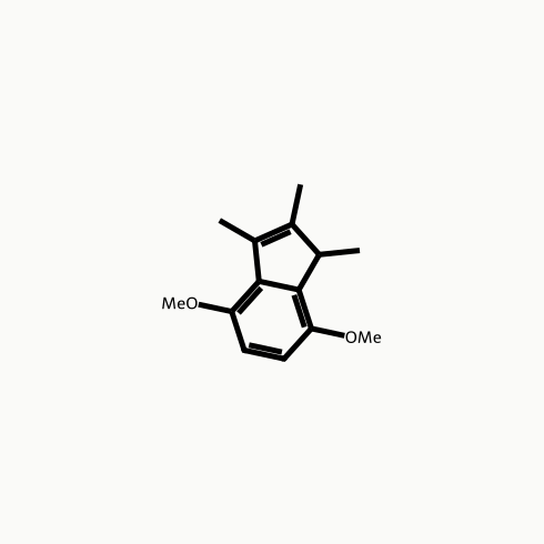 COc1ccc(OC)c2c1[C](C)C(C)=C2C